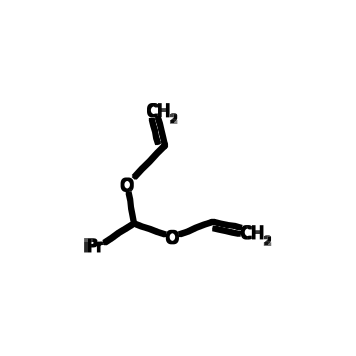 C=COC(OC=C)C(C)C